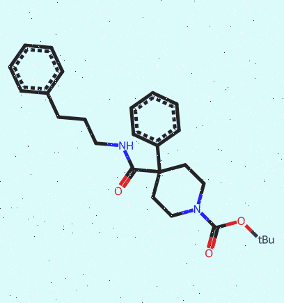 CC(C)(C)OC(=O)N1CCC(C(=O)NCCCc2ccccc2)(c2ccccc2)CC1